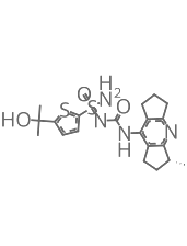 C[C@@H]1CCc2c1nc1c(c2NC(=O)N=S(N)(=O)c2ccc(C(C)(C)O)s2)CCC1